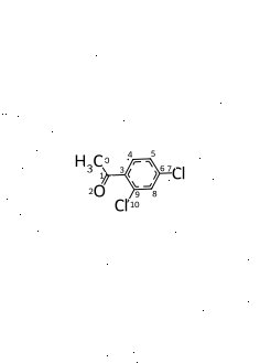 CC(=O)c1[c]cc(Cl)cc1Cl